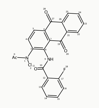 CC(=O)N(Cl)c1ccc2c(c1NC(=O)c1ccccc1F)C(=O)c1ccccc1C2=O